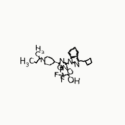 CCC(C)N1CCC(c2nc(-n3nc(C4CCC4)c4ccccc43)no2)CC1.O=C(O)C(F)(F)F